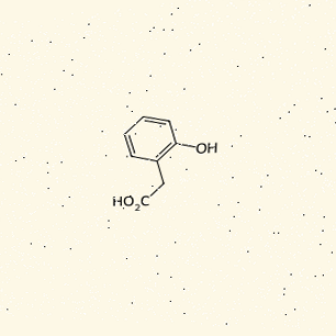 O=C(O)Cc1[c]cccc1O